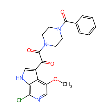 COc1cnc(Cl)c2[nH]cc(C(=O)C(=O)N3CCN(C(=O)c4ccccc4)CC3)c12